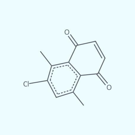 Cc1cc(Cl)c(C)c2c1C(=O)C=CC2=O